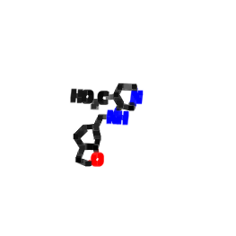 O=C(O)c1ccncc1NCc1ccc2c(c1)OCC2